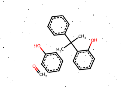 C=O.CC(C)(c1ccccc1)c1ccccc1O.Oc1ccccc1